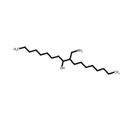 CCCCCCCCC(O)C(CN)CCCCCCCC